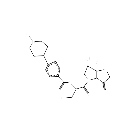 CCCN1CCC(c2ccc(C(=O)NC(CC(C)(C)C)C(=O)N3C[C@H](N)[C@H]4OCC(=O)[C@H]43)cc2)CC1